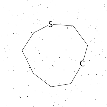 [CH]1CCCCCCCS1